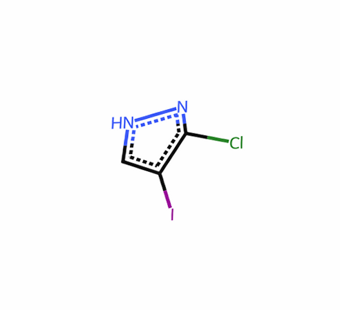 Clc1n[nH]cc1I